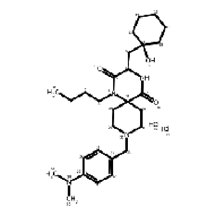 CCCCN1C(=O)[C@@H](CC2(O)CCCCC2)NC(=O)C12CCN(Cc1ccc(N(C)C)cc1)CC2.Cl.Cl